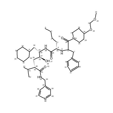 CCCC[C@H](NC(Cc1ccccc1)C(=O)N1CCC(OCOC)CC1)C(=O)N[C@@H](CC1CCCCC1)[C@@H](O)C[C@H](C(=O)NCc1ccncc1)C(C)C